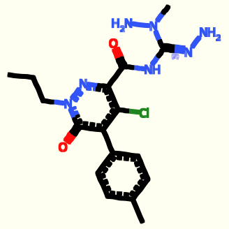 CCCn1nc(C(=O)N/C(=N/N)N(C)N)c(Cl)c(-c2ccc(C)cc2)c1=O